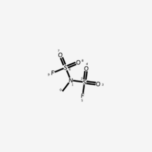 CN(S(=O)(=O)F)S(=O)(=O)F